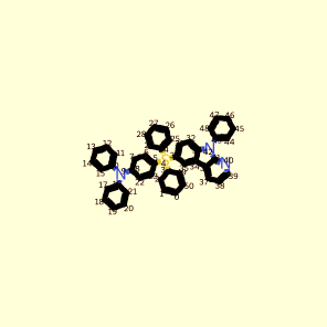 C1=CCC(S(C2=CCC(N(c3ccccc3)c3ccccc3)C=C2)(c2ccccc2)c2ccc3c(c2)c2cccnc2n3C2=CCCC=C2)C=C1